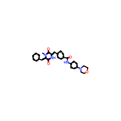 Cn1c(=O)/c(=C/c2ccc(C(=O)Nc3ccc(N4CCOCC4)cc3)cc2)[nH]c(=O)/c1=C/c1ccccc1